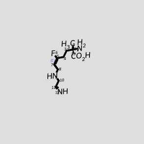 C[C@](N)(CC/C(F)=C\CNCC=N)C(=O)O